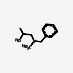 CC(O)CN(Cc1ccccc1)C(=O)O